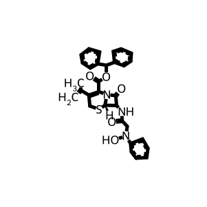 C=C(C)C1=C(C(=O)OC(c2ccccc2)c2ccccc2)N2C(=O)C(NC(=O)CN(O)c3ccccc3)[C@@H]2SC1